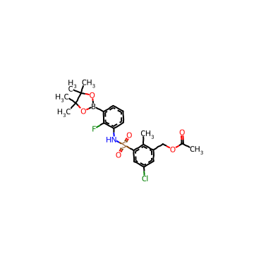 CC(=O)OCc1cc(Cl)cc(S(=O)(=O)Nc2cccc(B3OC(C)(C)C(C)(C)O3)c2F)c1C